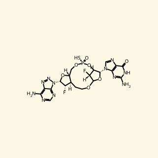 Nc1nc2c(ncn2[C@@H]2OC3OCC[C@H]4[C@H](F)[C@H](n5nnc6c(N)ncnc65)O[C@@H]4COP(=O)(S)O[C@@H]2[C@H]3F)c(=O)[nH]1